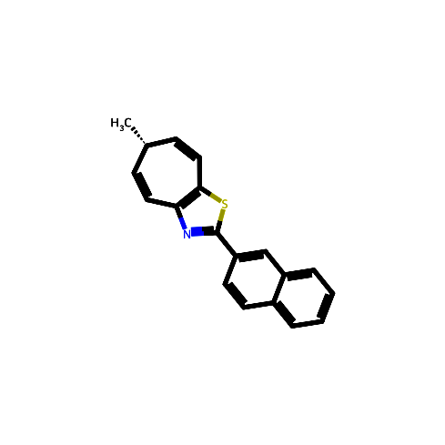 C[C@H]1C=Cc2nc(-c3ccc4ccccc4c3)sc2C=C1